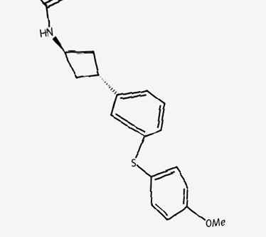 COc1ccc(Sc2cccc([C@H]3C[C@H](NC(N)=O)C3)c2)cc1